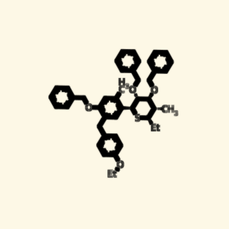 CCOc1ccc(Cc2cc([C@@H]3S[C@H](CC)[C@@H](C)[C@H](OCc4ccccc4)[C@H]3OCc3ccccc3)c(C)cc2OCc2ccccc2)cc1